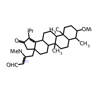 CN/C(=C\C=O)CC12CCC3C(CCC4C3(C)CCC3C(C)C(OC)CCC34C)C1=C(C(C)C)C(=O)C2